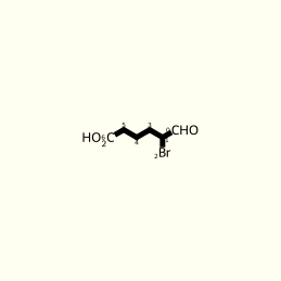 O=CC(Br)CCCC(=O)O